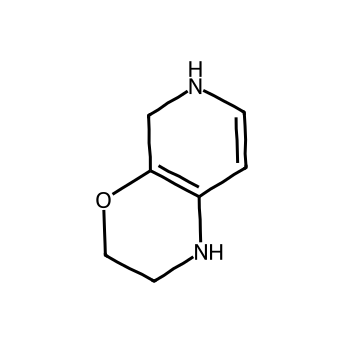 C1=CC2=C(CN1)OCCN2